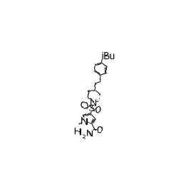 CCC(C)c1ccc(CCC2CCN(S(=O)(=O)c3cc(C(N)=O)n(C)c3)CC2)cc1